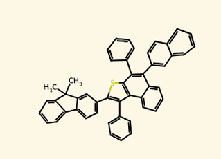 CC1(C)c2ccccc2-c2ccc(-c3sc4c(-c5ccccc5)c(-c5ccc6ccccc6c5)c5ccccc5c4c3-c3ccccc3)cc21